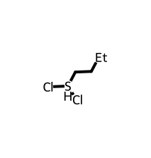 CCCC[SH](Cl)Cl